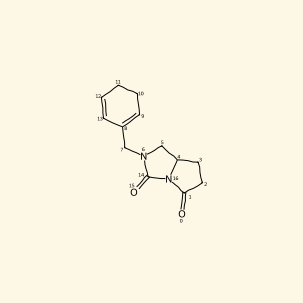 O=C1CCC2CN(CC3=CCCC=C3)C(=O)N12